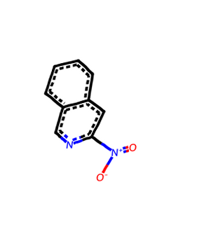 O=[N+]([O-])c1cc2ccccc2cn1